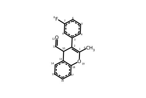 CC1=C(c2cccc(F)c2)C(C=O)c2ccccc2O1